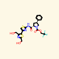 O=C(Nc1nc(-c2sc(CO)nc2CO)cs1)[C@@H]1C[C@@H](c2ccccc2)CN1C(=O)OCC(F)(F)F